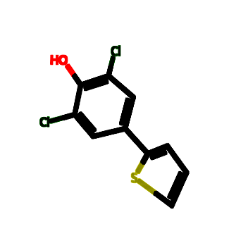 Oc1c(Cl)cc(-c2cccs2)cc1Cl